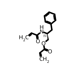 C=CC(=O)N[C@H](COC(=O)C=C)Cc1ccccc1